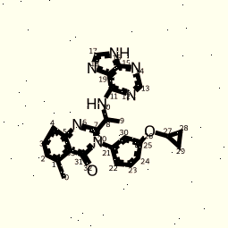 Cc1cccc2nc(C(C)Nc3ncnc4[nH]cnc34)n(-c3cccc(OC4CC4)c3)c(=O)c12